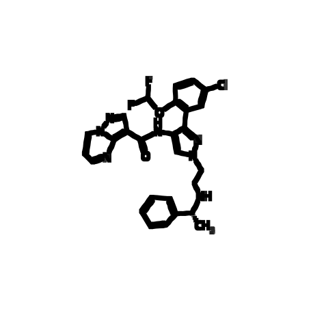 C[C@@H](NCCn1cc(NC(=O)c2cnn3cccnc23)c(-c2cc(Cl)ccc2OC(F)F)n1)c1ccccc1